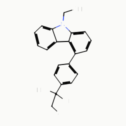 CCn1c2ccccc2c2c(-c3ccc(C(C)(C)CC)cc3)cccc21